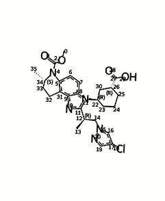 COC(=O)N1c2ccc3c(nc([C@H](C)Cn4cc(Cl)cn4)n3[C@@H]3CCC[C@@H](C(=O)O)C3)c2CC[C@@H]1C